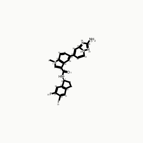 Cn1cc(C(=O)N[C@H]2CCc3cc(F)c(F)cc32)c2cc(-c3ccn4nc(N)nc4c3)ccc21